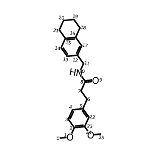 COc1ccc(CCC(=O)NCc2ccc3c(c2)CCCC3)cc1OC